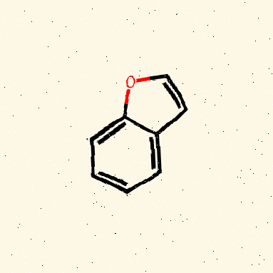 [c]1c[c]c2occc2c1